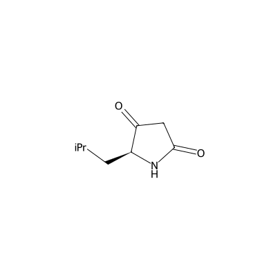 CC(C)C[C@@H]1NC(=O)CC1=O